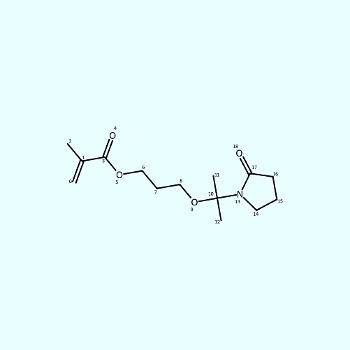 C=C(C)C(=O)OCCCOC(C)(C)N1CCCC1=O